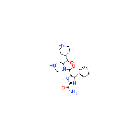 Cn1c(C(N)=O)nc(-c2ccccc2)c1C(=O)N1CCNCC1C(=O)C1CCNCC1